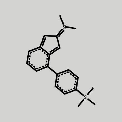 C[Si](C)=C1[C]=c2cccc(-c3ccc([Si](C)(C)C)cc3)c2=C1